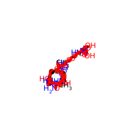 CCCC[C@H](NC(=O)CCC(=O)NCCCOCCOCCOCCCNC(=O)CN1CCN(CC(=O)O)CCN(CC(=O)O)CC1)C(=O)N[C@H]1CSCc2cccc(c2)CSC[C@@H](C(=O)O)NC(=O)[C@H](Cc2ccccc2)NC(=O)[C@H](CCC(N)=O)NC(=O)[C@H]([C@@H](C)O)NC(=O)[C@@H]2CCCN2C(=O)[C@@H]2CCCN2C1=O